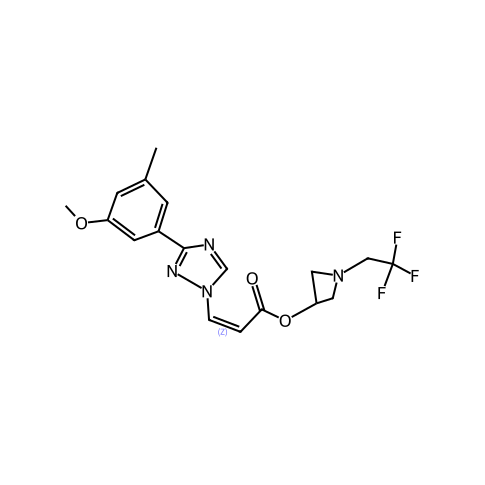 COc1cc(C)cc(-c2ncn(/C=C\C(=O)OC3CN(CC(F)(F)F)C3)n2)c1